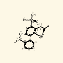 CC(=O)Nc1c(O)cccc1[As](=O)(O)O.O=[N+]([O-])c1ccncc1